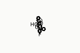 O=c1oc2cc3n(c(=O)c2c(O)c1Sc1ccccc1)-c1ccc(F)cc1C31CCCCC1